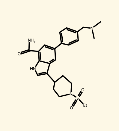 CCS(=O)(=O)N1CCC(c2c[nH]c3c(C(N)=O)cc(-c4ccc(CN(C)C)cc4)cc23)CC1